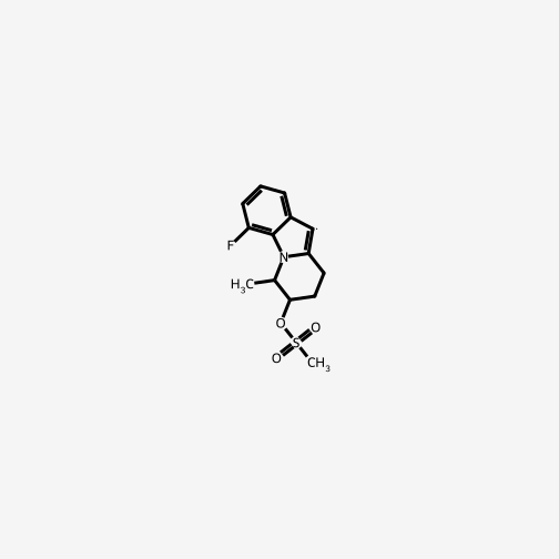 CC1C(OS(C)(=O)=O)CCc2[c]c3cccc(F)c3n21